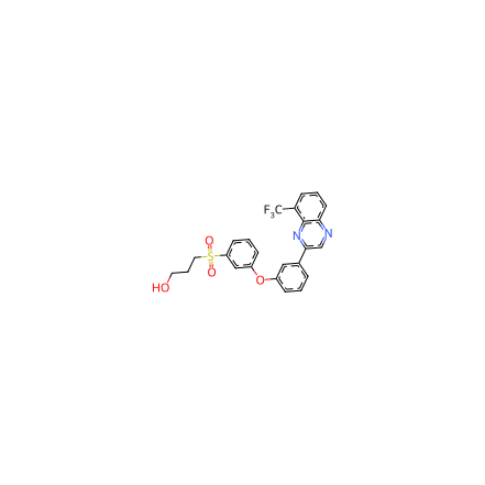 O=S(=O)(CCCO)c1cccc(Oc2cccc(-c3cnc4cccc(C(F)(F)F)c4n3)c2)c1